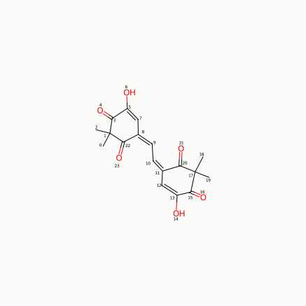 CC1(C)C(=O)C(O)=CC(=CC=C2C=C(O)C(=O)C(C)(C)C2=O)C1=O